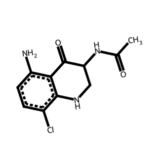 CC(=O)NC1CNc2c(Cl)ccc(N)c2C1=O